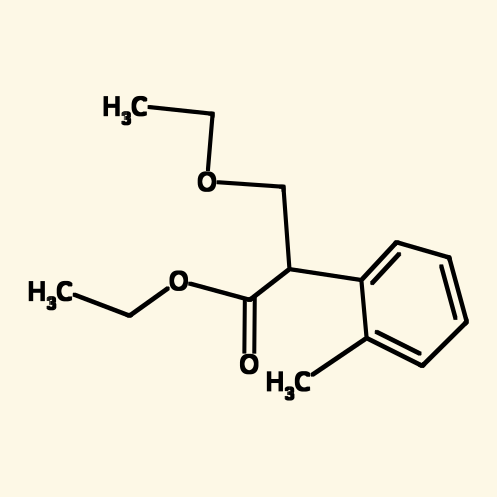 CCOCC(C(=O)OCC)c1ccccc1C